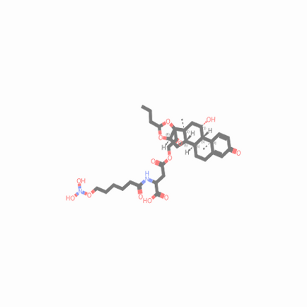 CCCC1O[C@@H]2C[C@H]3[C@@H]4CCC5=CC(=O)C=C[C@]5(C)[C@H]4[C@@H](O)C[C@]3(C)C2(C(=O)COC(=O)CC(NC(=O)CCCCCON(O)O)C(=O)O)O1